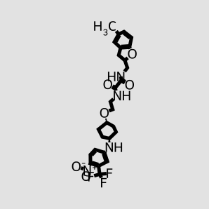 Cc1ccc2c(c1)CC(CNC(=O)C(=O)NCCO[C@H]1CC[C@H](Nc3ccc([N+](=O)[O-])c(C(F)(F)F)c3)CC1)O2